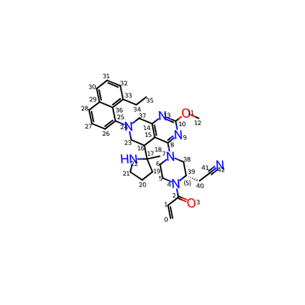 C=CC(=O)N1CCN(c2nc(OC)nc3c2C(C2(C)CCCN2)CN(c2cccc4cccc(CC)c24)C3)C[C@@H]1CC#N